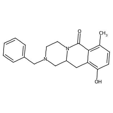 Cc1ccc(O)c2c1C(=O)N1CCN(Cc3ccccc3)CC1C2